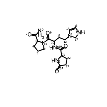 NC(=O)C1CCCN1C(=O)C(CCN1C=CNC1)NC(=O)C1CCC(=O)N1